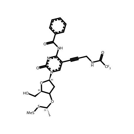 CSS[C@@H](C)OC1C[C@H](n2cc(C#CCNC(=O)C(F)(F)F)c(NC(=O)c3ccccc3)nc2=O)O[C@@H]1CO